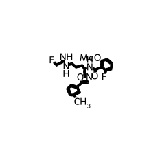 COc1cccc(F)c1C(=O)NC(CCCNC(=N)CF)c1ncc(-c2cccc(C)c2)o1